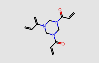 C=CC(=C)N1CN(C(=O)C=C)CN(C(=O)C=C)C1